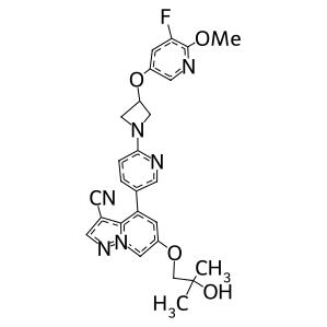 COc1ncc(OC2CN(c3ccc(-c4cc(OCC(C)(C)O)cn5ncc(C#N)c45)cn3)C2)cc1F